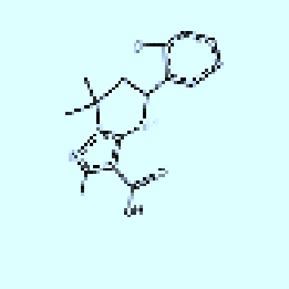 Cc1nn2c(c1C(=O)O)NC(c1ccccc1Cl)CC2(C)C